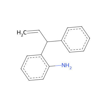 C=CC(c1ccccc1)c1ccccc1N